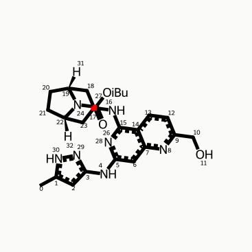 Cc1cc(Nc2cc3nc(CO)ccc3c(NC3C[C@H]4CC[C@@H](C3)N4C(=O)OCC(C)C)n2)n[nH]1